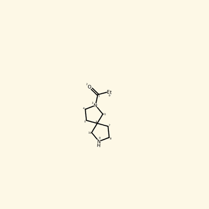 CCC(=O)N1CCC2(CCNC2)C1